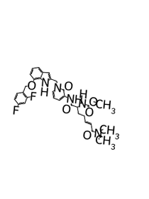 COC(=O)NC(CCC=CC(=O)N(C)C)C(=O)Nc1cccn(Cc2cc3cccc(OCc4ccc(F)cc4F)c3[nH]2)c1=O